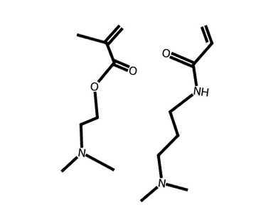 C=C(C)C(=O)OCCN(C)C.C=CC(=O)NCCCN(C)C